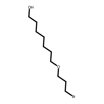 OCCCCCCCOCCCBr